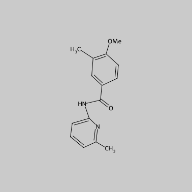 COc1ccc(C(=O)Nc2cccc(C)n2)cc1C